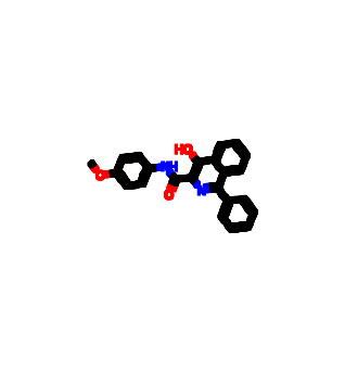 COc1ccc(NC(=O)c2nc(-c3ccccc3)c3ccccc3c2O)cc1